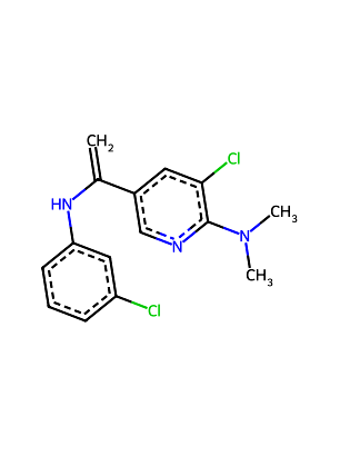 C=C(Nc1cccc(Cl)c1)c1cnc(N(C)C)c(Cl)c1